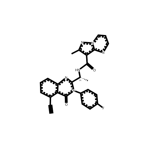 C#Cc1cccc2nc([C@@H](C)NC(=O)c3c(C)nn4cccnc34)n(-c3ccc(F)cc3)c(=O)c12